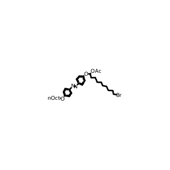 CCCCCCCCOc1ccc(N=Nc2ccc(OC(CCCCCCCCCBr)OC(C)=O)cc2)cc1